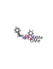 COC(=O)N(OC)c1ccccc1CO/N=C\C[C@@H]1C[C@H]1c1ccccc1